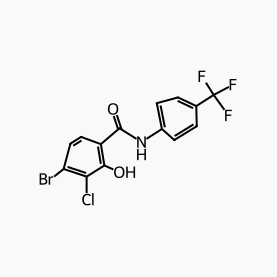 O=C(Nc1ccc(C(F)(F)F)cc1)c1ccc(Br)c(Cl)c1O